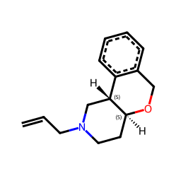 C=CCN1CC[C@@H]2OCc3ccccc3[C@H]2C1